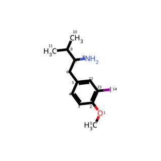 COc1ccc(CC(N)C(C)C)cc1I